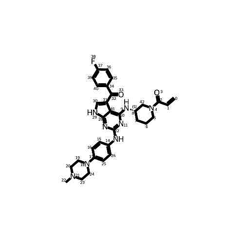 C=CC(=O)N1CCC[C@H](Nc2nc(Nc3ccc(N4CCN(C)CC4)cc3)nc3[nH]cc(C(=O)c4ccc(F)cc4)c23)C1